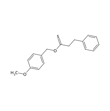 COc1ccc(COC(=S)CCc2ccccc2)cc1